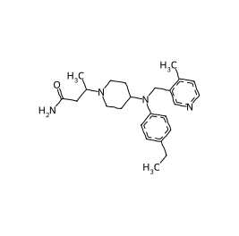 CCc1ccc(N(Cc2cnccc2C)C2CCN(C(C)CC(N)=O)CC2)cc1